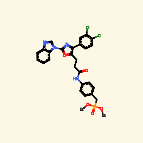 CCOP(=O)(Cc1ccc(NC(=O)CCc2oc(-n3cnc4ccccc43)nc2-c2ccc(Cl)c(Cl)c2)cc1)OCC